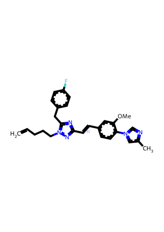 C=CCCCn1nc(/C=C/c2ccc(-n3cnc(C)c3)c(OC)c2)nc1Cc1ccc(F)cc1